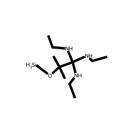 CCNC(NCC)(NCC)C(C)(C)O[SiH3]